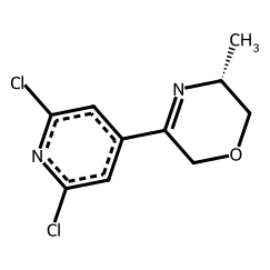 C[C@@H]1COCC(c2cc(Cl)nc(Cl)c2)=N1